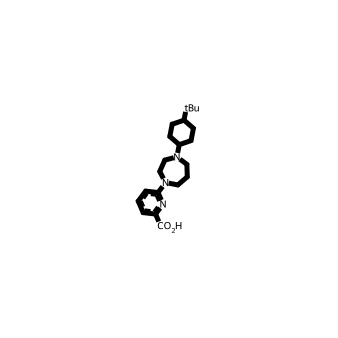 CC(C)(C)C1CCC(N2CCCN(c3cccc(C(=O)O)n3)CC2)CC1